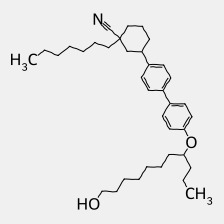 CCCCCCCC1(C#N)CCCC(c2ccc(-c3ccc(OC(CCC)CCCCCCCO)cc3)cc2)C1